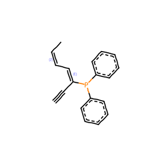 C#C/C(=C\C=C/C)P(c1ccccc1)c1ccccc1